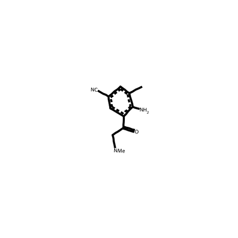 CNCC(=O)c1cc(C#N)cc(C)c1N